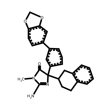 CN1C(=O)C(c2cccc(-c3ccc4c(c3)OCO4)c2)(C2CCc3ccccc3C2)N=C1N